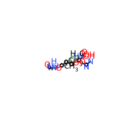 Cc1c(COc2cc(OCc3cncc(C#N)c3)c(CNC(C)(CO)C(=O)O)cc2Cl)cccc1-c1cccc(-c2ccc(OCCNC[C@H]3CCC(=O)N3)cc2)c1C